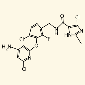 Cc1nc(Cl)c(C(=O)NCc2ccc(Cl)c(Oc3cc(N)cc(Cl)n3)c2F)[nH]1